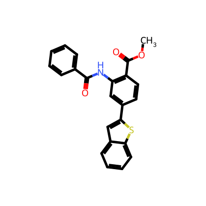 COC(=O)c1ccc(-c2cc3ccccc3s2)cc1NC(=O)c1ccccc1